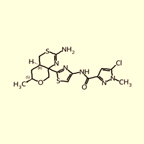 C[C@H]1C[C@H]2CSC(N)=NC2(c2nc(NC(=O)c3cc(Cl)n(C)n3)cs2)CO1